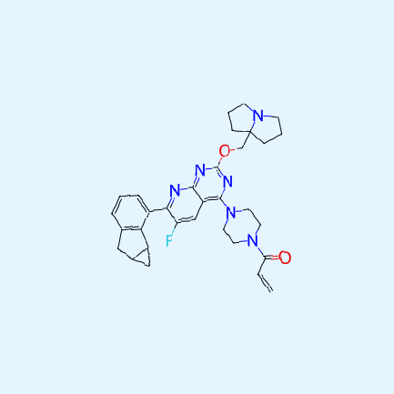 C=CC(=O)N1CCN(c2nc(OCC34CCCN3CCC4)nc3nc(-c4cccc5c4C4CC4C5)c(F)cc23)CC1